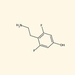 NCCc1c(F)cc(O)cc1F